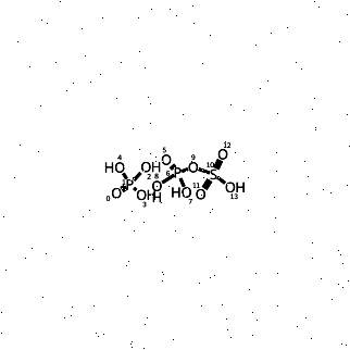 O=P(O)(O)O.O=P(O)(O)OS(=O)(=O)O